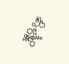 CCOc1ncccc1C(=O)Nc1cccc(S(=O)(=O)Nc2ccccc2OC)c1